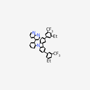 CCc1cc(-c2ccc3c(c2)c2cc(-c4cc(CC)cc(C(F)(F)F)c4)ccc2n3-c2ccccc2-c2ccnc3ncccc23)cc(C(F)(F)F)c1